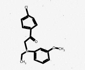 CCN(CC(=O)c1ccc(Cl)cc1)c1cccc(OC)c1